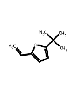 C=Cc1ccc(C(C)(C)C)o1